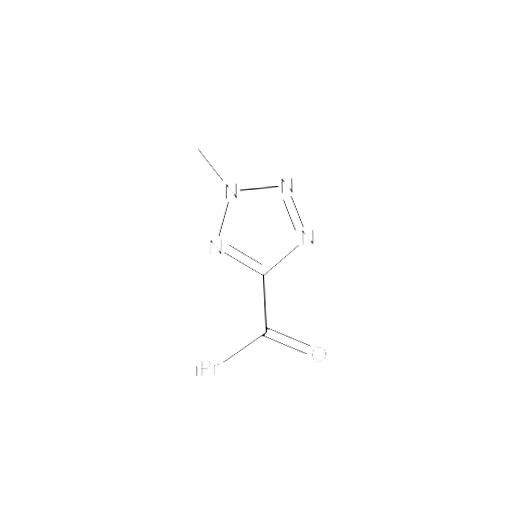 CC(C)C(=O)c1nnn(C)n1